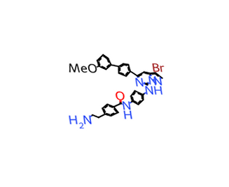 COc1cccc(-c2ccc(-c3cc4c(Br)cnn4c(Nc4ccc(NC(=O)c5ccc(CCN)cc5)cc4)n3)cc2)c1